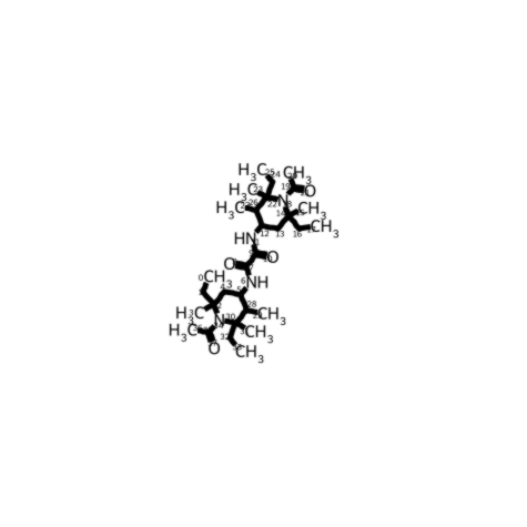 CCC1(C)CC(NC(=O)C(=O)NC2CC(C)(CC)N(C(C)=O)C(C)(CC)C2C)C(C)C(C)(CC)N1C(C)=O